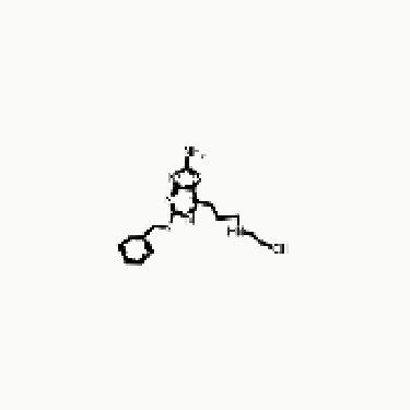 Nc1nc2nc(SCc3ccccc3)nc(CCCNCCO)c2s1